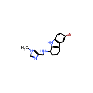 Cn1cnc(CNC2CCCc3c2[nH]c2ccc(Br)cc32)c1